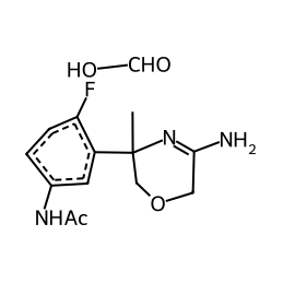 CC(=O)Nc1ccc(F)c(C2(C)COCC(N)=N2)c1.O=CO